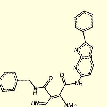 CN/C(C(=O)Nc1ccn2cc(-c3ccccc3)nc2n1)=C(\C=N)C(=O)NCc1ccncc1